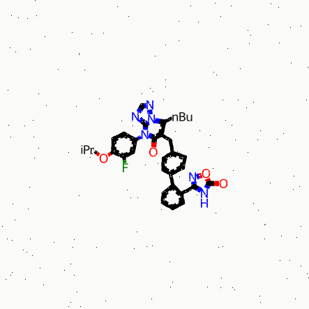 CCCCc1c(Cc2ccc(-c3ccccc3-c3noc(=O)[nH]3)cc2)c(=O)n(-c2ccc(OC(C)C)c(F)c2)c2ncnn12